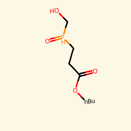 CCCCOC(=O)CC[PH](=O)CO